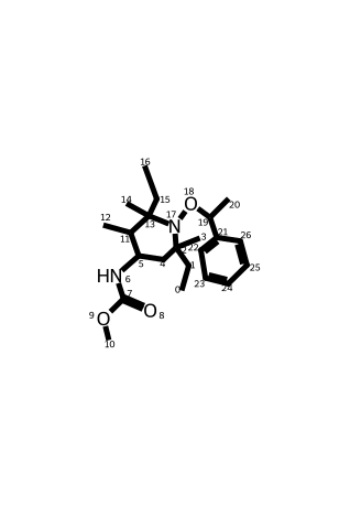 CCC1(C)CC(NC(=O)OC)C(C)C(C)(CC)N1OC(C)c1ccccc1